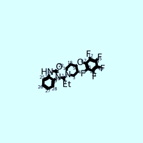 CCC(N1CCC(Oc2c(F)c(F)c(F)c(F)c2F)CC1)n1c(=O)[nH]c2ccccc21